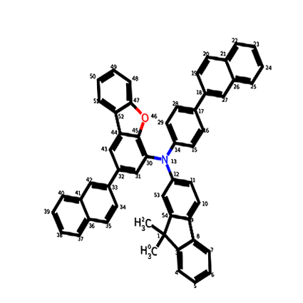 CC1(C)c2ccccc2-c2ccc(N(c3ccc(-c4ccc5ccccc5c4)cc3)c3cc(-c4ccc5ccccc5c4)cc4c3oc3ccccc34)cc21